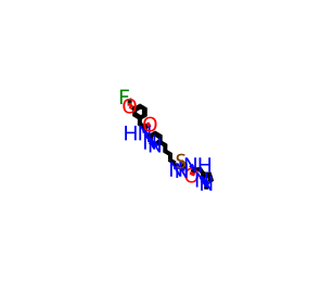 Cn1ccc(CC(=O)Nc2nnc(CCCCc3ccc(NC(=O)Cc4cccc(OCF)c4)nn3)s2)n1